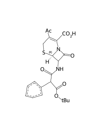 CC(=O)C1=C(C(=O)O)N2C(=O)C(NC(=O)C(C(=O)OC(C)(C)C)c3ccccc3)[C@H]2SC1